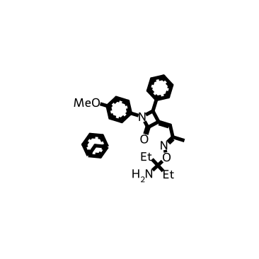 CCC(N)(CC)ON=C(C)C=C1C(=O)N(c2ccc(OC)cc2)C1c1ccccc1.c1cc2cc(c1)C2